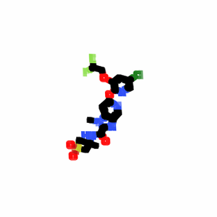 Cn1c(C(=O)NC2(C)CS(=O)(=O)C2)nc2cnc(Oc3ncc(Cl)cc3OCC(F)F)cc21